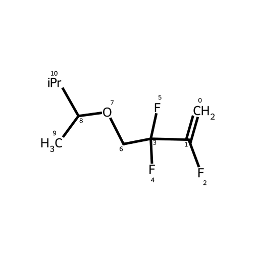 C=C(F)C(F)(F)COC(C)C(C)C